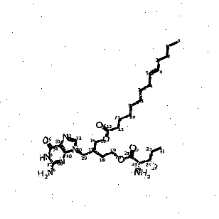 CCCCC=CCCCCCCCC(=O)OCC(CCOC(=O)[C@@H](N)[C@@H](C)CC)Cn1cnc2c(=O)[nH]c(N)nc21